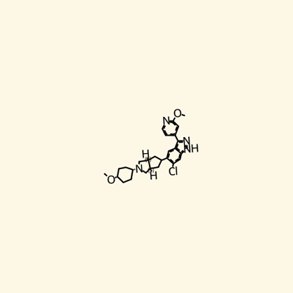 COc1cc(-c2n[nH]c3cc(Cl)c(C4C[C@@H]5CN([C@H]6CC[C@H](OC)CC6)C[C@@H]5C4)cc23)ccn1